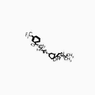 CN(C)c1ncc([C@]2(O)CC[C@H](N3CC(NC(=O)CNC(=O)c4cccc(C(F)(F)F)c4)C3)CC2)s1